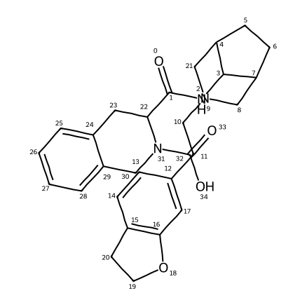 O=C(NC1C2CCC1CN(CCc1ccc3c(c1)OCC3)C2)C1Cc2ccccc2CN1C(=O)O